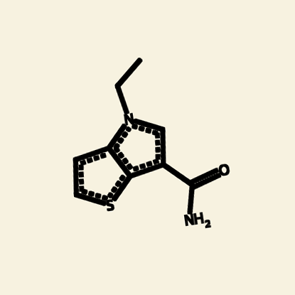 CCn1cc(C(N)=O)c2sccc21